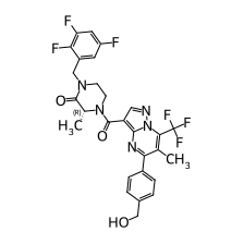 Cc1c(-c2ccc(CO)cc2)nc2c(C(=O)N3CCN(Cc4cc(F)cc(F)c4F)C(=O)[C@H]3C)cnn2c1C(F)(F)F